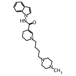 CN1CCN(CCCCN2C=C(C(=O)Nn3ccc4ccccc43)CCC2)CC1